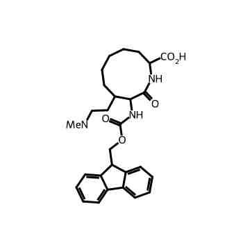 CNCCC1CCCCCC(C(=O)O)NC(=O)C1NC(=O)OCC1c2ccccc2-c2ccccc21